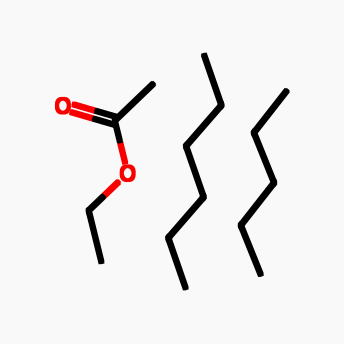 CCCCC.CCCCCC.CCOC(C)=O